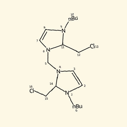 CCCCN1C=CN(CN2C=CN(CCCC)C2CCl)C1CCl